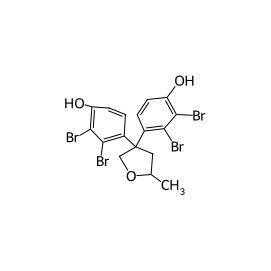 CC1CC(c2ccc(O)c(Br)c2Br)(c2ccc(O)c(Br)c2Br)CO1